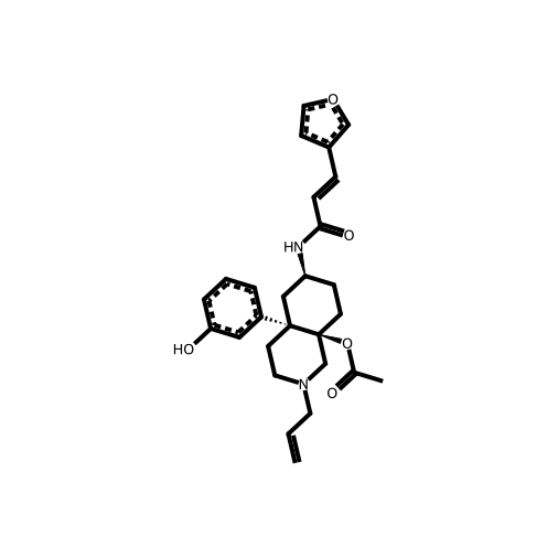 C=CCN1CC[C@@]2(c3cccc(O)c3)C[C@@H](NC(=O)C=Cc3ccoc3)CC[C@]2(OC(C)=O)C1